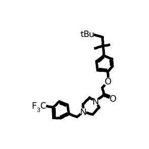 CC(C)(C)CC(C)(C)c1ccc(OCC(=O)N2CCN(Cc3ccc(C(F)(F)F)cc3)CC2)cc1